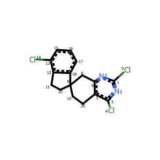 Clc1nc(Cl)c2c(n1)CC1(CCc3c(Cl)cccc31)CC2